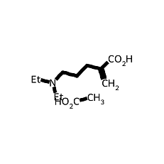 C=C(CCCN(CC)CC)C(=O)O.CC(=O)O